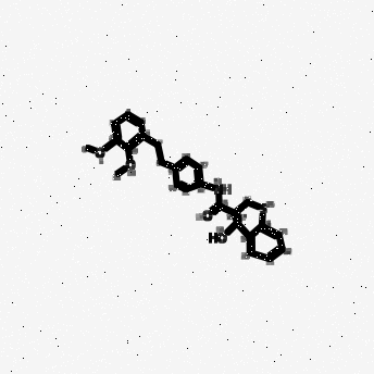 COc1cccc(CCc2ccc(NC(=O)C3=C(O)c4ccccc4SC3)cc2)c1OC